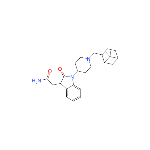 CC1(C)C2CCC(CN3CCC(N4C(=O)C(CC(N)=O)c5ccccc54)CC3)C1C2